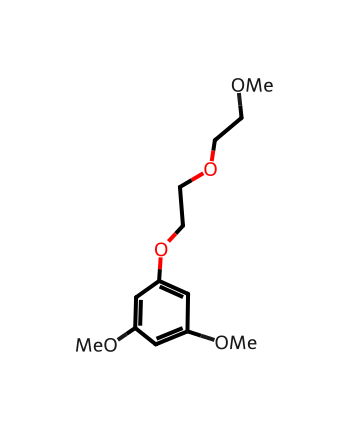 COCCOCCOc1cc(OC)cc(OC)c1